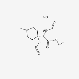 CCOC(=O)C(NC=O)C1(SN=O)CCN(C)CC1.Cl